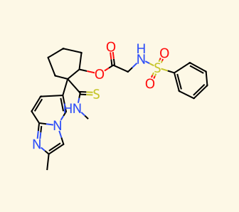 CNC(=S)C1(c2ccc3nc(C)cn3c2)CCCCC1OC(=O)CNS(=O)(=O)c1ccccc1